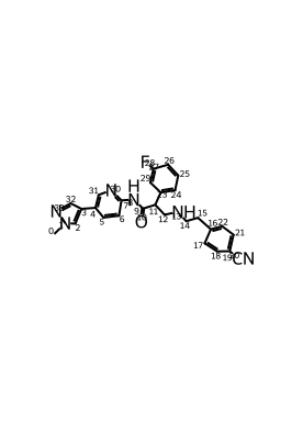 Cn1cc(-c2ccc(NC(=O)C(CNCCc3ccc(C#N)cc3)c3cccc(F)c3)nc2)cn1